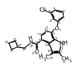 Cc1[nH]c2c(Oc3cccc(Cl)c3)ncc(C(=O)NCC3CCC3)c2c1C